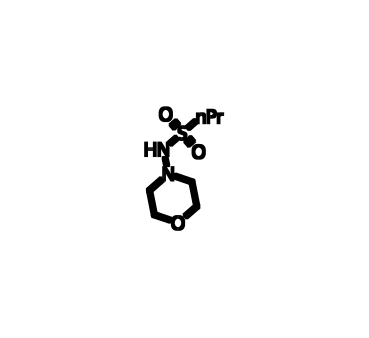 CCCS(=O)(=O)NN1CCOCC1